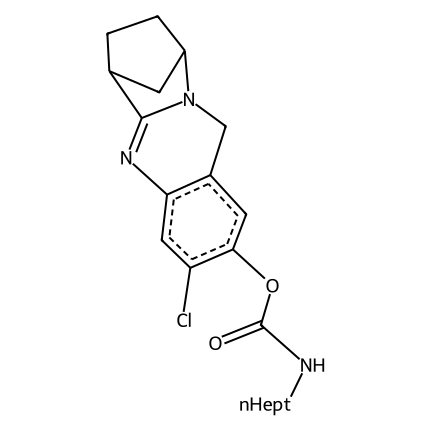 CCCCCCCNC(=O)Oc1cc2c(cc1Cl)N=C1C3CCC(C3)N1C2